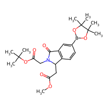 COC(=O)CC1c2ccc(B3OC(C)(C)C(C)(C)O3)cc2C(=O)N1CC(=O)OC(C)(C)C